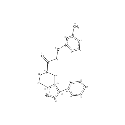 Cc1cccc(OCC(=O)N2CCc3[nH]nc(-c4ccccc4)c3C2)c1